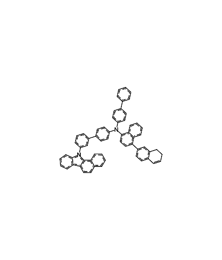 C1=Cc2ccc(-c3ccc(N(c4ccc(-c5ccccc5)cc4)c4ccc(-c5cccc(-n6c7ccccc7c7ccc8ccccc8c76)c5)cc4)c4ccccc34)cc2CC1